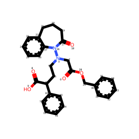 O=C(CN(CCC(C(=O)O)c1ccccc1)N1C(=O)CCCc2ccccc21)OCc1ccccc1